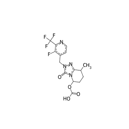 CC1CCC(OC(=O)O)n2c1nn(Cc1ccnc(C(F)(F)F)c1F)c2=O